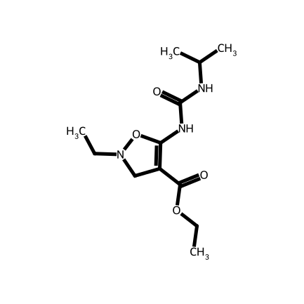 CCOC(=O)C1=C(NC(=O)NC(C)C)ON(CC)C1